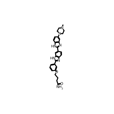 CN1CCN(c2ccc3[nH]c(-c4ccc5nc(-c6cccc(OCCCC(N)=O)c6)[nH]c5c4)nc3c2)CC1